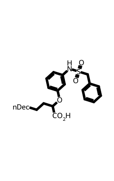 CCCCCCCCCCCCC(Oc1cccc(NS(=O)(=O)Cc2ccccc2)c1)C(=O)O